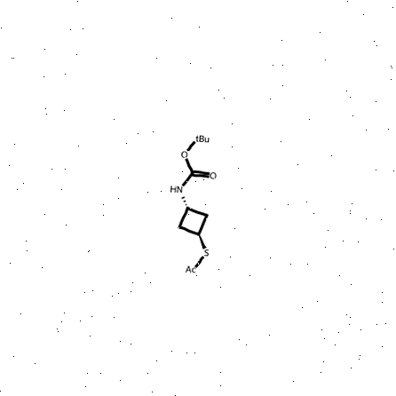 CC(=O)S[C@H]1C[C@H](NC(=O)OC(C)(C)C)C1